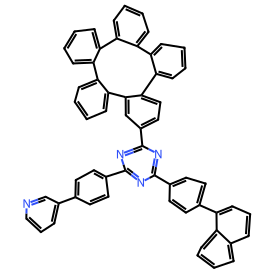 c1cncc(-c2ccc(-c3nc(-c4ccc(-c5cccc6ccccc56)cc4)nc(-c4ccc5c6ccccc6c6ccccc6c6ccccc6c6ccccc6c5c4)n3)cc2)c1